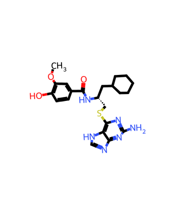 COc1cc(C(=O)N[C@@H](CSc2nc(N)nc3nc[nH]c23)CC2CCCCC2)ccc1O